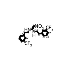 O=[N+]([O-])C=C(NCCc1cccc(C(F)(F)F)c1)NCCc1cccc(C(F)(F)F)c1